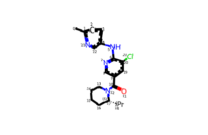 Cc1ccc(Nc2ncc(C(=O)N3CCCC[C@H]3C(C)C)cc2Cl)cn1